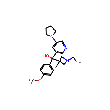 CC(C)CN1CC(C)(C(O)(c2ccc(OC(F)(F)F)cc2)c2cncc(N3CCCC3)c2)C1